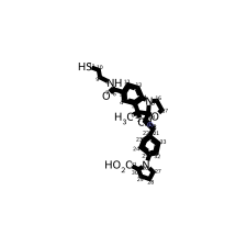 CC1(C)c2cc(C(=O)NCCS)ccc2N2CCOC21/C=C/c1ccc(N2CCCC2C(=O)O)cc1